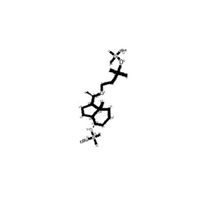 C[C@@H](OCCC(C)(C)O[Si](C)(C)C(C)(C)C)C1CCC2[C@@H](O[Si](C)(C)C(C)(C)C)CCCC21C